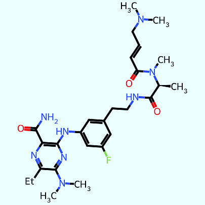 CCc1nc(C(N)=O)c(Nc2cc(F)cc(CCNC(=O)[C@H](C)N(C)C(=O)/C=C/CN(C)C)c2)nc1N(C)C